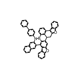 c1ccc(-c2ccc(N3B4c5cccc6c5C(Cc5oc7ccccc7c5-6)c5cc6oc7ccccc7c6c(c54)-c4cc5ccccc5cc43)cc2)cc1